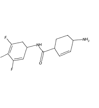 CC1=C(F)CC(NC(=O)C2C=CC(N)CC2)C=C1F